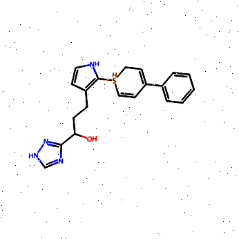 OC(CCc1cc[nH]c1[SH]1C=CC(c2ccccc2)=CC1)c1nc[nH]n1